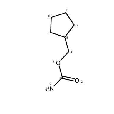 [NH]C(=O)OCC1CCCC1